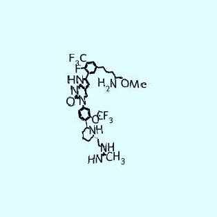 COC[C@H](N)CCCc1cc(-c2cc3cn(-c4ccc([C@@H]5CCC[C@@H](CCNC(C)=N)N5)c(OC(F)(F)F)c4)c(=O)nc3[nH]2)c(F)c(C(F)(F)F)c1